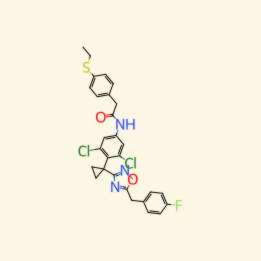 CCSc1ccc(CC(=O)Nc2cc(Cl)c(C3(c4noc(Cc5ccc(F)cc5)n4)CC3)c(Cl)c2)cc1